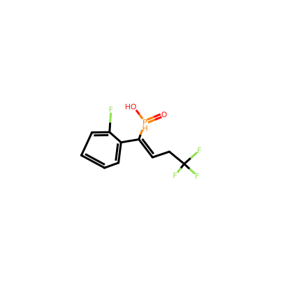 O=[PH](O)C(=CCC(F)(F)F)c1ccccc1F